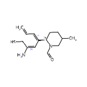 C=C/C=C(\C=C(\N)CS)[C@H]1CCC(C)CN1C=O